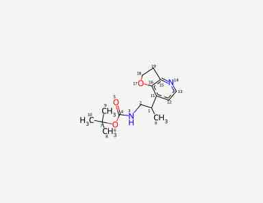 CC(CNC(=O)OC(C)(C)C)c1ccnc2c1OCC2